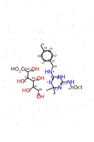 CCCCCCCCNC1=NC(C)(C)N=C(NCc2ccc(C)cc2)N1.O=C(O)C(O)C(O)C(O)C(O)CO